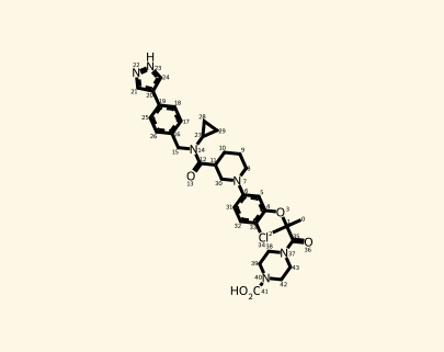 CC(C)(Oc1cc(N2CCCC(C(=O)N(Cc3ccc(-c4cn[nH]c4)cc3)C3CC3)C2)ccc1Cl)C(=O)N1CCN(C(=O)O)CC1